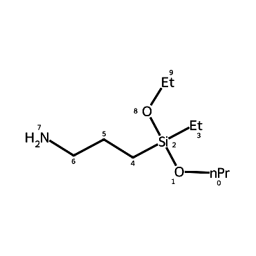 CCCO[Si](CC)(CCCN)OCC